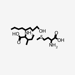 CCC(C)C(N)C(=O)O.CCCCCCCCO.CSCCC(N)C(=O)O